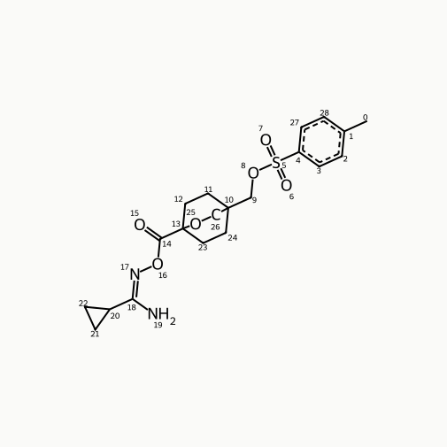 Cc1ccc(S(=O)(=O)OCC23CCC(C(=O)O/N=C(\N)C4CC4)(CC2)OC3)cc1